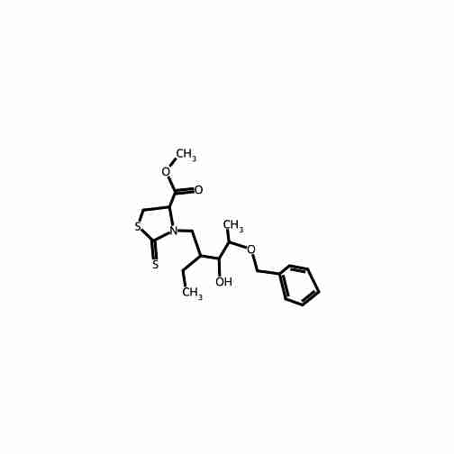 CCC(CN1C(=S)SCC1C(=O)OC)C(O)C(C)OCc1ccccc1